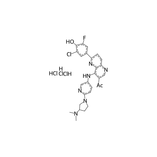 CC(=O)c1cnc2ccc(-c3cc(F)c(O)c(Cl)c3)nc2c1Nc1ccc(N2CCC(N(C)C)C2)nc1.Cl.Cl.Cl